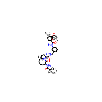 CN[C@@H](C)C(=O)N[C@H]1CCCC[C@H]2CC[C@@H](C(=O)NCc3cccc(NC(=O)C45CC[C@@](C)(C(=O)O4)C5(C)C)c3)N2C1=O